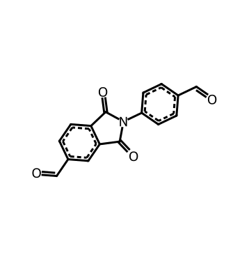 O=Cc1ccc(N2C(=O)c3ccc(C=O)cc3C2=O)cc1